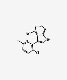 N#Cc1cccc2[nH]cc(-c3nc(Cl)ncc3Cl)c12